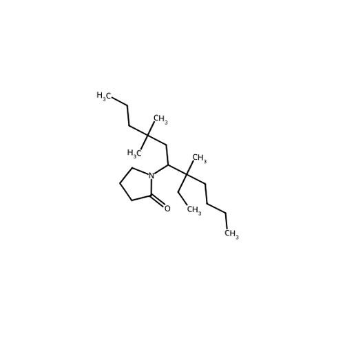 CCCCC(C)(CC)C(CC(C)(C)CCC)N1CCCC1=O